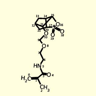 C=C(C)C(=O)NCCOCOC1C2CC3C1OS(=O)(=O)C3C2